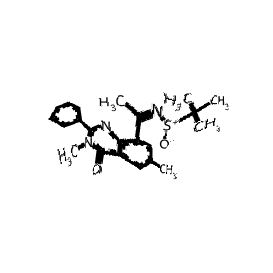 C/C(=N/[S@+]([O-])C(C)(C)C)c1cc(C)cc2c(=O)n(C)c(-c3ccccc3)nc12